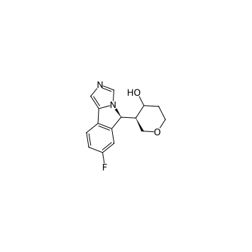 OC1CCOC[C@H]1[C@H]1c2cc(F)ccc2-c2cncn21